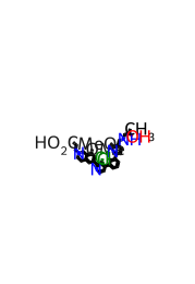 COc1cc(-c2nccc(-c3cccc(-c4ccc(CNCC(C)O)c(OC)n4)c3Cl)c2Cl)cc2c1CN(CCC(=O)O)CC2